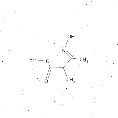 CCOC(=O)C(C)C(C)=NO